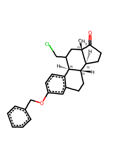 C[C@]12CC(CCl)[C@@H]3c4ccc(OCc5ccccc5)cc4CC[C@H]3[C@@H]1CCC2=O